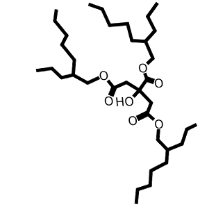 CCCCCC(CCC)COC(=O)CC(O)(CC(=O)OCC(CCC)CCCCC)C(=O)OCC(CCC)CCCCC